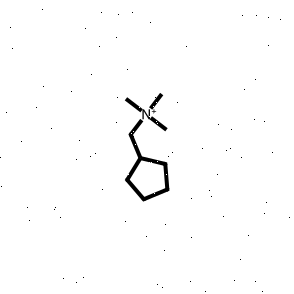 C[N+](C)(C)CC1CCCC1